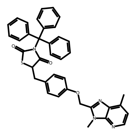 Cc1ccnc2c1nc(COc1ccc(CC3SC(=O)N(C(c4ccccc4)(c4ccccc4)c4ccccc4)C3=O)cc1)n2C